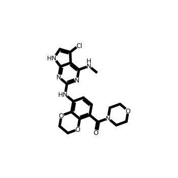 CNc1nc(Nc2ccc(C(=O)N3CCOCC3)c3c2OCCO3)nc2[nH]cc(Cl)c12